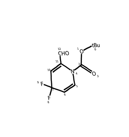 CC(C)(C)OC(=O)N1C=CC(F)(F)C=C1C=O